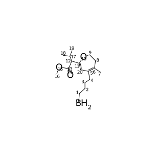 BCCCCC1=C(C)CCOC(C(C(=O)OC)C(C)C)=C1